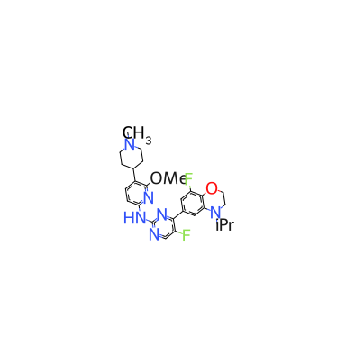 COc1nc(Nc2ncc(F)c(-c3cc(F)c4c(c3)N(C(C)C)CCO4)n2)ccc1C1CCN(C)CC1